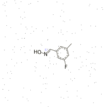 Cc1cc(F)cc(/C=N/O)c1